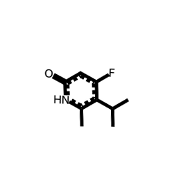 Cc1[nH]c(=O)cc(F)c1C(C)C